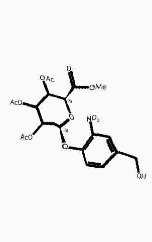 COC(=O)[C@H]1O[C@@H](Oc2ccc(CO)cc2[N+](=O)[O-])C(OC(C)=O)C(OC(C)=O)C1OC(C)=O